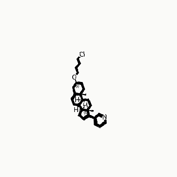 C[C@]12CC[C@H](OCCCCCl)CC1=CC[C@@H]1[C@@H]2CC[C@]2(C)C(c3cccnc3)=CC[C@@H]12